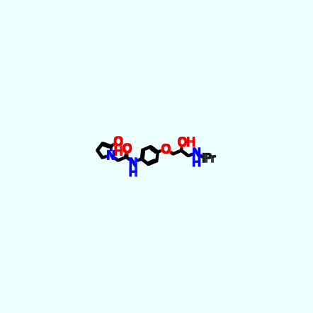 CC(C)NCC(O)COc1ccc(NC(=O)CN2CCC=C2O)cc1